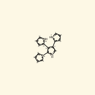 c1c[nH]c(-c2c[nH]c(-n3cccc3)c2-c2ccc[nH]2)c1